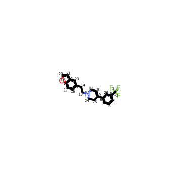 FC(F)(F)c1cccc(C2=CCN(CCc3ccc4occc4c3)CC2)c1